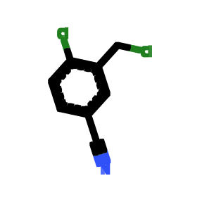 N#Cc1ccc(Cl)c(CCl)c1